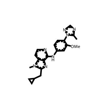 COc1cc(Nc2nccc3c2nc(CC2CC2)n3C)ccc1-n1ncnc1C